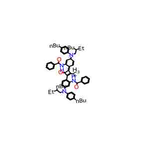 CCCCc1ccc(N(CC(CC)CCCC)c2ccc(C3=C(C)/C(=C4C=C/C(=[N+](\CC(CC)CCCC)c5ccc(CCCC)cc5)C=C\4NC(=O)c4ccccc4)C3=O)c(NC(=O)c3ccccc3)c2)cc1